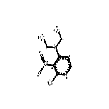 CCN(CC)c1ccnc(C)c1[N+](=O)[O-]